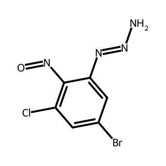 NN=Nc1cc(Br)cc(Cl)c1N=O